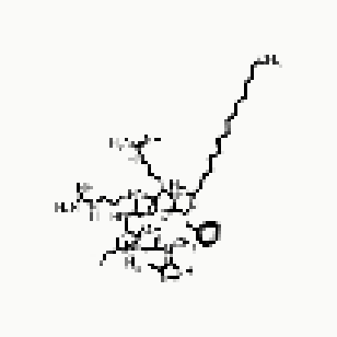 CCCCCCCCCCCCCCCC(=O)N[C@@H](Cc1ccccc1)C(=O)N[C@@H](CCCNC(=N)N)C(=O)N[C@@H](CCCNC(=N)N)C(=O)N[C@@H](CC(C)C)C(=O)N[C@@H](Cc1c[nH]cn1)C(=O)NC